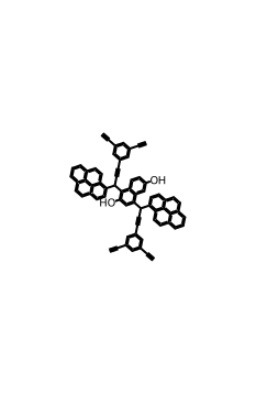 C#Cc1cc(C#C)cc(C#CC(c2cc(O)c(C(C#Cc3cc(C#C)cc(C#C)c3)c3ccc4ccc5cccc6ccc3c4c56)c3ccc(O)cc23)c2ccc3ccc4cccc5ccc2c3c45)c1